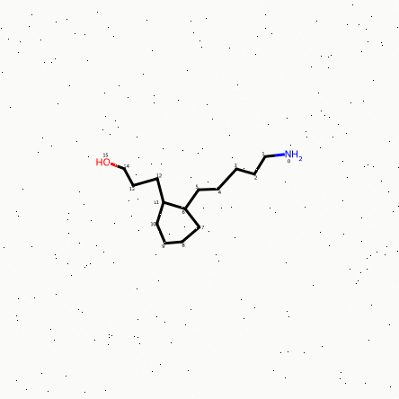 NCCCCCC1CCCCC1CCCO